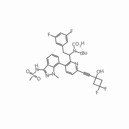 Cn1nc(NS(C)(=O)=O)c2cccc(-c3ccc(C#CC4(O)CC(F)(F)C4)nc3C(Cc3cc(F)cc(F)c3)N(C(=O)O)C(C)(C)C)c21